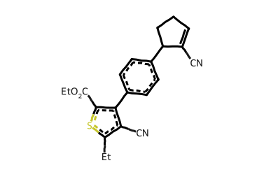 CCOC(=O)c1sc(CC)c(C#N)c1-c1ccc(C2CCC=C2C#N)cc1